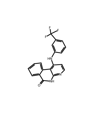 O=c1[nH]c2nccc(Nc3cccc(C(F)(F)F)c3)c2c2ccccc12